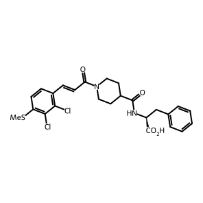 CSc1ccc(/C=C/C(=O)N2CCC(C(=O)N[C@@H](Cc3ccccc3)C(=O)O)CC2)c(Cl)c1Cl